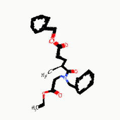 CCOC(=O)CN(Cc1ccccc1)C(=O)[C@@H](C)CCC(=O)OCc1ccccc1